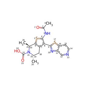 CC(=O)Nc1sc2c(c1-c1nc3cnccc3s1)C[C@H](C)N(C(=O)O)[C@H]2C